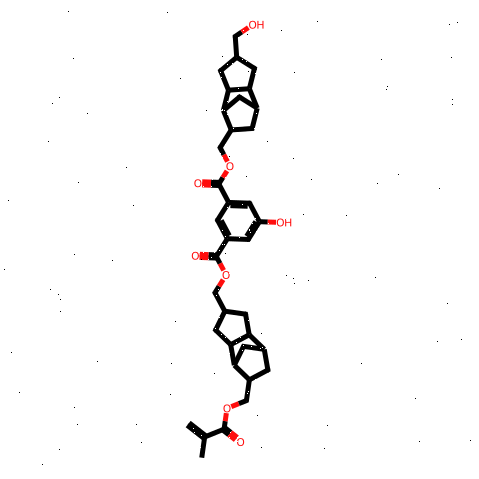 C=C(C)C(=O)OCC1CC2CC1C1CC(COC(=O)c3cc(O)cc(C(=O)OCC4CC5CC4C4CC(CO)CC54)c3)CC21